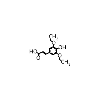 CCOc1cc(C=CC(=O)O)cc(OCC)c1O